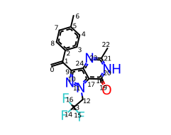 C=C(c1ccc(C)cc1)c1nn(CC(F)(F)F)c2c(=O)[nH]c(C)nc12